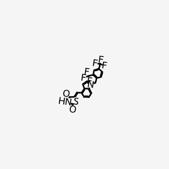 O=C1NC(=O)/C(=C/c2cccc3c2ccn3Cc2ccc(C(F)(F)F)cc2C(F)(F)F)S1